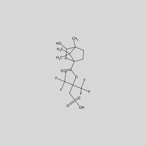 CC12CCC(C(=O)OC(CS(=O)(=O)O)(C(F)(F)F)C(F)(F)F)(OC1O)C2(C)C